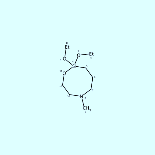 CCO[Si]1(OCC)CCCN(C)CCO1